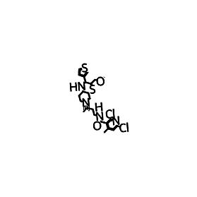 COCC(=S)C(NC1CCN([C@H](C)CCNC(=O)c2c(C)cc(Cl)nc2Cl)CC1)c1ccsc1